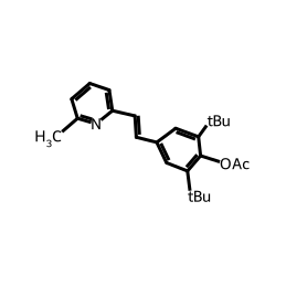 CC(=O)Oc1c(C(C)(C)C)cc(C=Cc2cccc(C)n2)cc1C(C)(C)C